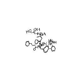 CC(C)(CC(=O)NN(Cc1ccc(-c2ccccc2-c2nnn[nH]2)cc1)C(=O)CCCc1ccccc1)NC[C@H](O)CO